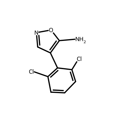 Nc1oncc1-c1c(Cl)cccc1Cl